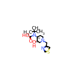 CC(C)(C)N(C(=O)O)[C@H]1CCN(Cc2cscn2)C[C@@H]1O